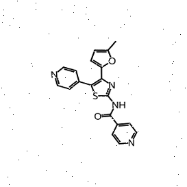 Cc1ccc(-c2nc(NC(=O)c3ccncc3)sc2-c2ccncc2)o1